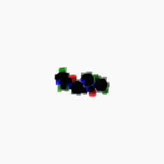 O=C(NC1CCC(Cn2c(=O)n(-c3cc(F)ccc3Cl)c3cccnc32)CC1)c1cc(Cl)cnc1C(F)F